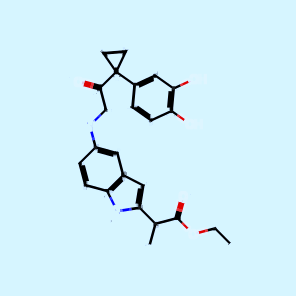 CCOC(=O)C(C)c1cc2cc(NCC(=O)C3(c4ccc(O)c(O)c4)CC3)ccc2[nH]1